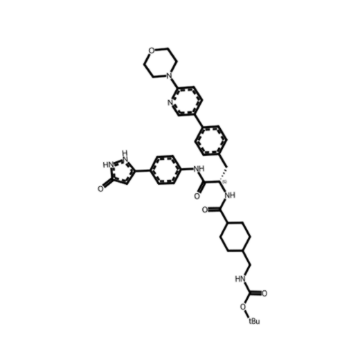 CC(C)(C)OC(=O)NCC1CCC(C(=O)N[C@@H](Cc2ccc(-c3ccc(N4CCOCC4)nc3)cc2)C(=O)Nc2ccc(-c3cc(=O)[nH][nH]3)cc2)CC1